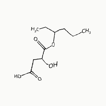 CCCC(CC)OC(=O)C(O)CC(=O)O